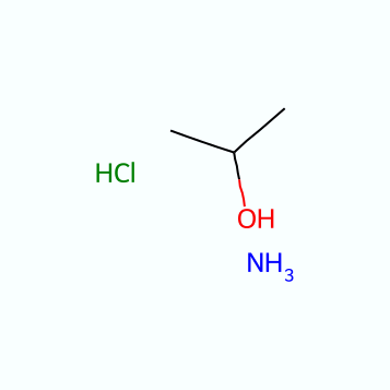 CC(C)O.Cl.N